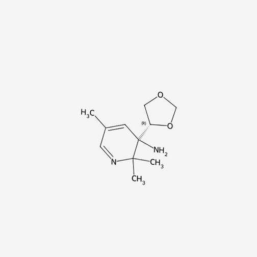 CC1=CC(N)([C@@H]2COCO2)C(C)(C)N=C1